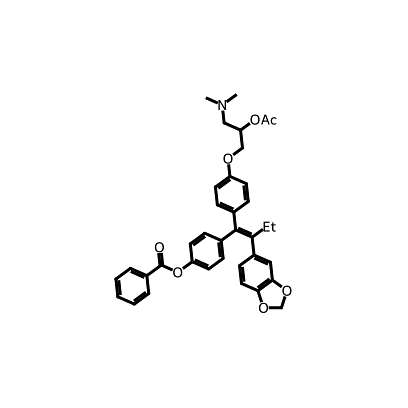 CCC(=C(c1ccc(OCC(CN(C)C)OC(C)=O)cc1)c1ccc(OC(=O)c2ccccc2)cc1)c1ccc2c(c1)OCO2